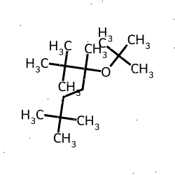 CC(C)(C)CCC(C)(OC(C)(C)C)C(C)(C)C